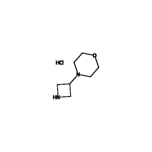 C1CN(C2CNC2)CCO1.Cl